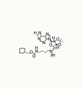 CC(C)N(CCCCNC(=O)OCc1ccccc1)C[C@H]1O[C@@H](n2cnc3c(N)ncnc32)[C@@H]2OC(C)(C)O[C@@H]21